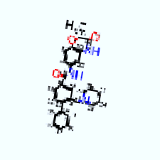 C[C@@H]1Oc2ccc(NC(=O)c3ccc(-c4ccccc4)c(CN4CCCCC4)c3)cc2NC1=O